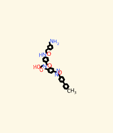 Cc1ccc(-c2ccc(-c3nc(-c4ccc(CN(CC(=O)O)C(=O)c5ccc(NC(=O)Cc6cccc(CN)c6)cc5)cc4)no3)cc2)cc1